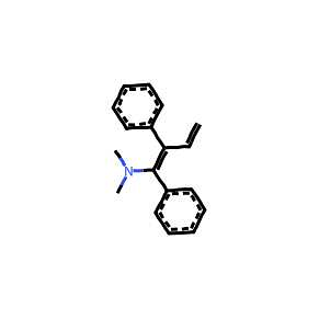 C=C/C(=C(\c1ccccc1)N(C)C)c1ccccc1